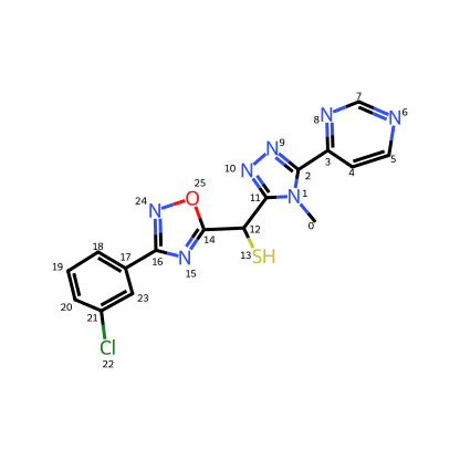 Cn1c(-c2ccncn2)nnc1C(S)c1nc(-c2cccc(Cl)c2)no1